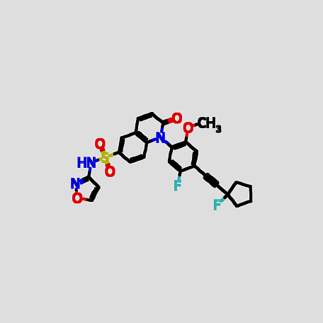 COc1cc(C#CC2(F)CCCC2)c(F)cc1-n1c(=O)ccc2cc(S(=O)(=O)Nc3ccon3)ccc21